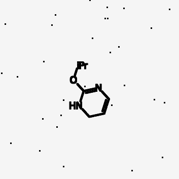 CC(C)OC1=NC=CCN1